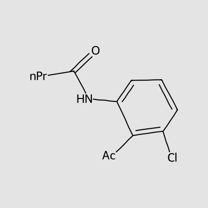 CCCC(=O)Nc1cccc(Cl)c1C(C)=O